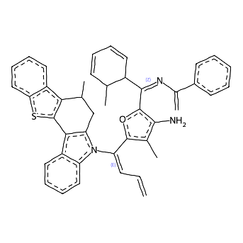 C=C/C=C(\c1oc(/C(=N\C(=C)c2ccccc2)C2C=CC=CC2C)c(N)c1C)n1c2c(c3ccccc31)-c1sc3ccccc3c1C(C)C2